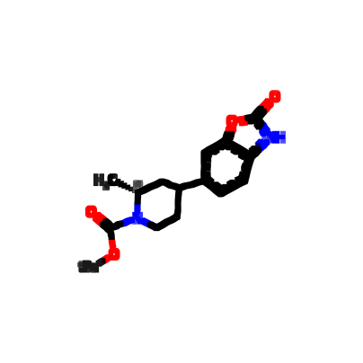 C[C@@H]1CC(c2ccc3[nH]c(=O)oc3c2)CCN1C(=O)OC(C)(C)C